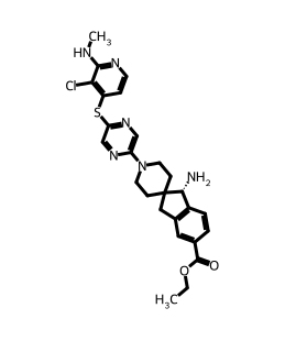 CCOC(=O)c1ccc2c(c1)CC1(CCN(c3cnc(Sc4ccnc(NC)c4Cl)cn3)CC1)[C@@H]2N